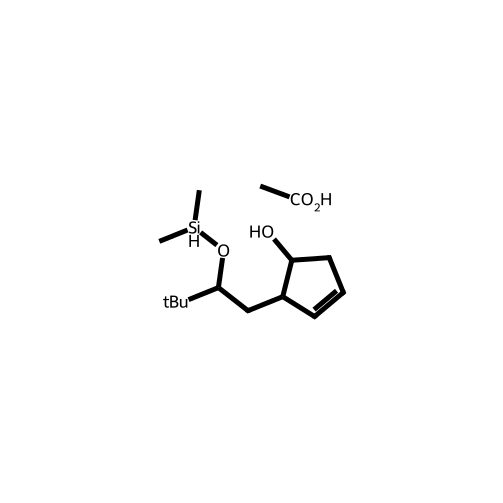 CC(=O)O.C[SiH](C)OC(CC1C=CCC1O)C(C)(C)C